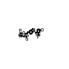 O=C1S/C(=C\c2ccc3c(cnn3Cc3ccc(Cl)cc3C(F)(F)F)c2)C(=O)N1Cc1nn[nH]n1